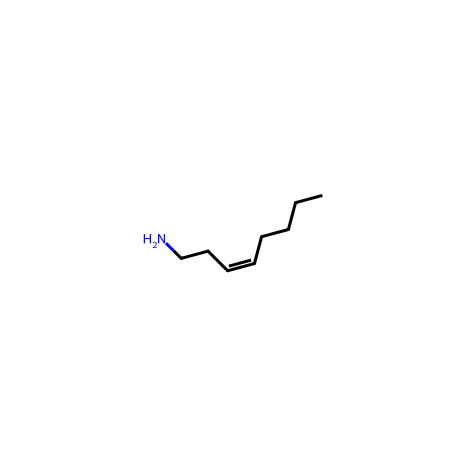 CCCC/C=C\CCN